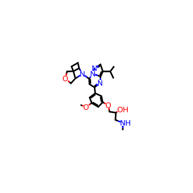 CNCC(O)COc1cc(OC)cc(-c2cc(N3C4CCC45COCC35)n3ncc(C(C)C)c3n2)c1